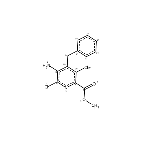 COC(=O)c1nc(Cl)c(N)c(Cc2ccccc2)c1Cl